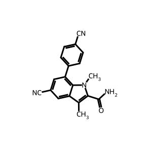 Cc1c(C(N)=O)n(C)c2c(-c3ccc(C#N)cc3)cc(C#N)cc12